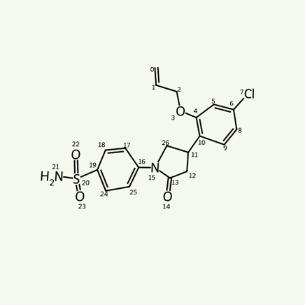 C=CCOc1cc(Cl)ccc1C1CC(=O)N(c2ccc(S(N)(=O)=O)cc2)C1